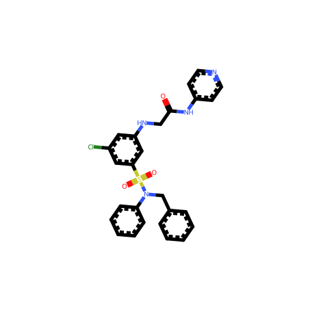 O=C(CNc1cc(Cl)cc(S(=O)(=O)N(Cc2ccccc2)c2ccccc2)c1)Nc1ccncc1